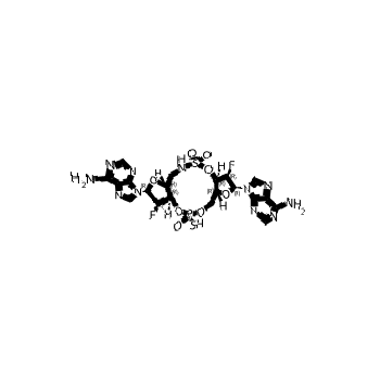 Nc1ncnc2c1ncn2[C@@H]1O[C@@H]2CNS(=O)(=O)O[C@H]3[C@@H](F)[C@H](n4cnc5c(N)ncnc54)O[C@@H]3CO[P@@](=O)(S)O[C@H]2[C@H]1F